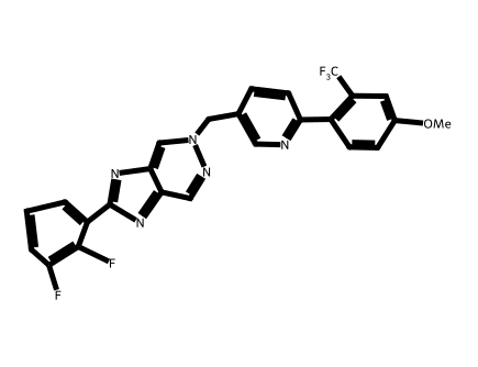 COc1ccc(-c2ccc(Cn3cc4nc(-c5cccc(F)c5F)nc-4cn3)cn2)c(C(F)(F)F)c1